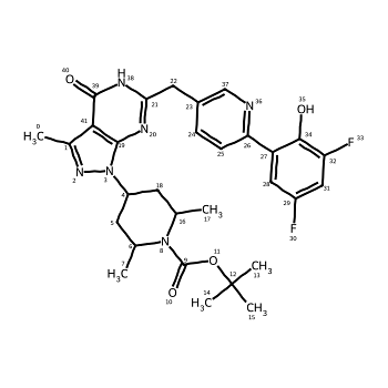 Cc1nn(C2CC(C)N(C(=O)OC(C)(C)C)C(C)C2)c2nc(Cc3ccc(-c4cc(F)cc(F)c4O)nc3)[nH]c(=O)c12